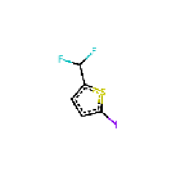 FC(F)c1ccc(I)s1